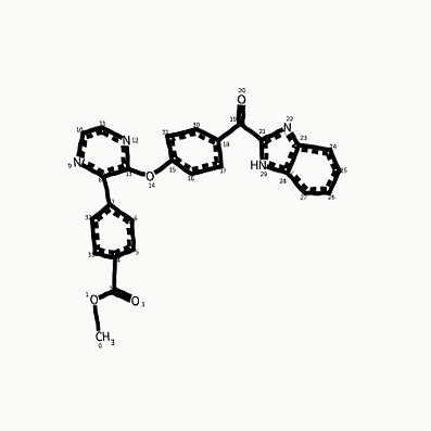 COC(=O)c1ccc(-c2nccnc2Oc2ccc(C(=O)c3nc4ccccc4[nH]3)cc2)cc1